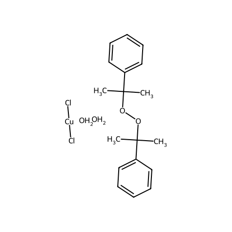 CC(C)(OOC(C)(C)c1ccccc1)c1ccccc1.O.O.[Cl][Cu][Cl]